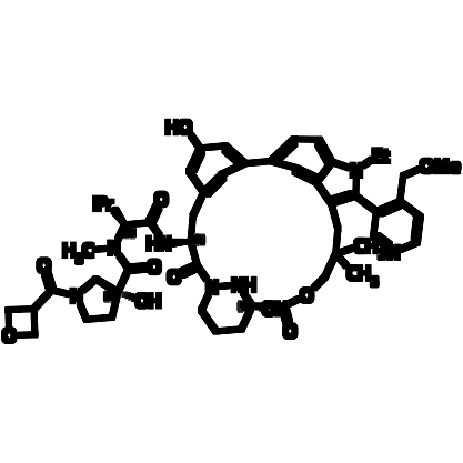 CCn1c(-c2cnccc2COC)c2c3cc(ccc31)-c1cc(O)cc(c1)C[C@H](NC(=O)[C@H](C(C)C)N(C)C(=O)[C@@]1(O)CCN(C(=O)C3COC3)C1)C(=O)N1CCC[C@@](O)(N1)C(=O)OCC(C)(C)C2